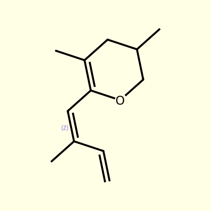 C=C/C(C)=C\C1=C(C)CC(C)CO1